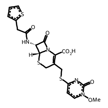 COn1ccc(SCC2=C(C(=O)O)N3C(=O)[C@@H](NC(=O)Cc4cccs4)[C@H]3SC2)nc1=O